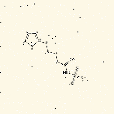 NS(=O)(=O)NC(=O)CCSCc1cccs1